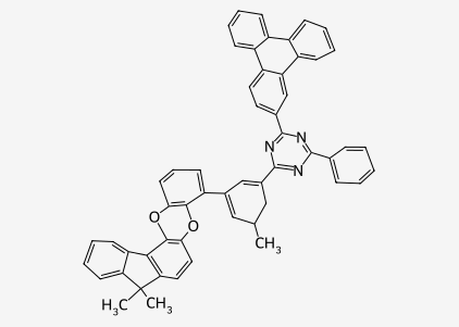 CC1C=C(c2cccc3c2Oc2ccc4c(c2O3)-c2ccccc2C4(C)C)C=C(c2nc(-c3ccccc3)nc(-c3ccc4c5ccccc5c5ccccc5c4c3)n2)C1